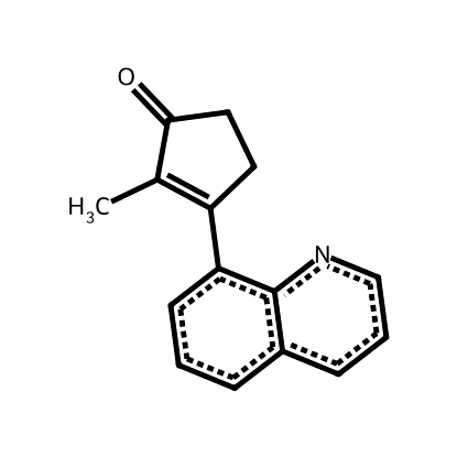 CC1=C(c2cccc3cccnc23)CCC1=O